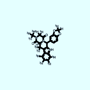 [2H]c1c([2H])c([2H])c2c3c([nH]c2c1[2H])C(c1ccc2c(c1)OC([2H])([2H])O2)N1C(=O)C([2H])([2H])N(C([2H])([2H])[2H])C(=O)[C@H]1C3([2H])[2H]